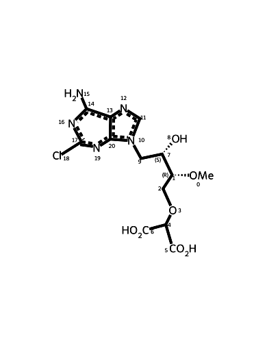 CO[C@H](COC(C(=O)O)C(=O)O)[C@@H](O)Cn1cnc2c(N)nc(Cl)nc21